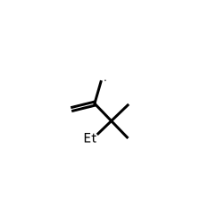 [CH2]C(=C)C(C)(C)CC